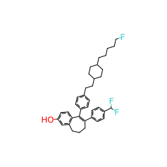 Oc1ccc2c(c1)CCCC(c1ccc(C(F)F)cc1)=C2c1ccc(CCC2CCC(CCCCCF)CC2)cc1